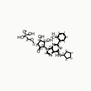 Cc1ccccc1-c1nc(NC2CCCC2)c2ncn([C@H]3C(=O)[C@H](COCP(=O)(O)O)[C@H](O)[C@@H]3O)c2n1